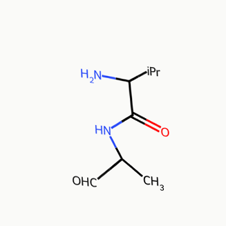 CC(C=O)NC(=O)C(N)C(C)C